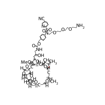 C=C1C[C@@H]2CC[C@@]34C[C@H]5O[C@@H]6C(O[C@H]7CC[C@H](CC(=O)C[C@@H]8[C@@H](OC)[C@@H](C[C@H](O)CNC(=O)OCc9ccc(N(CCOCCOCCOCCN)S(=O)(=O)c%10ccc(C#N)cn%10)cc9)O[C@H]8C[C@H]8O[C@@H](CC[C@@H]1O2)C[C@@H](C)C8=C)O[C@@H]7[C@@H]6O3)[C@H]5O4